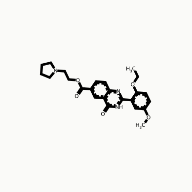 CCOc1ccc(OC)cc1-c1nc2ccc(C(=O)OCCN3CCCC3)cc2c(=O)[nH]1